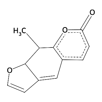 CC1c2oc(=O)ccc2C=C2C=COC21